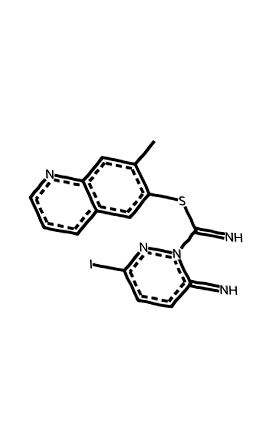 Cc1cc2ncccc2cc1SC(=N)n1nc(I)ccc1=N